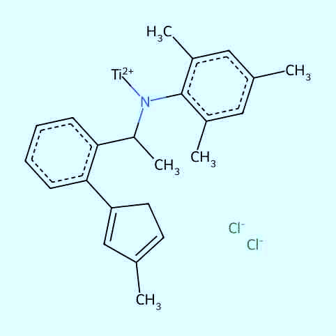 CC1=CCC(c2ccccc2C(C)[N]([Ti+2])c2c(C)cc(C)cc2C)=C1.[Cl-].[Cl-]